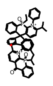 CCP1(=O)c2ccccc2C2(c3ccccc3-c3cc(CC(C)P4(=O)c5ccccc5C(=O)c5ccc(C(C)C)[n+](-c6ccccc6)c54)ccc32)c2ccc(C(C)C)[n+](-c3ccccc3)c21